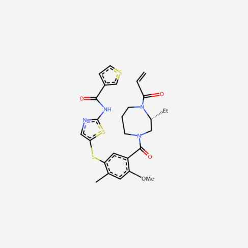 C=CC(=O)N1CCCN(C(=O)c2cc(Sc3cnc(NC(=O)c4ccsc4)s3)c(C)cc2OC)C[C@H]1CC